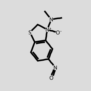 CN(C)[N+]1([O-])CSc2ccc(N=O)cc21